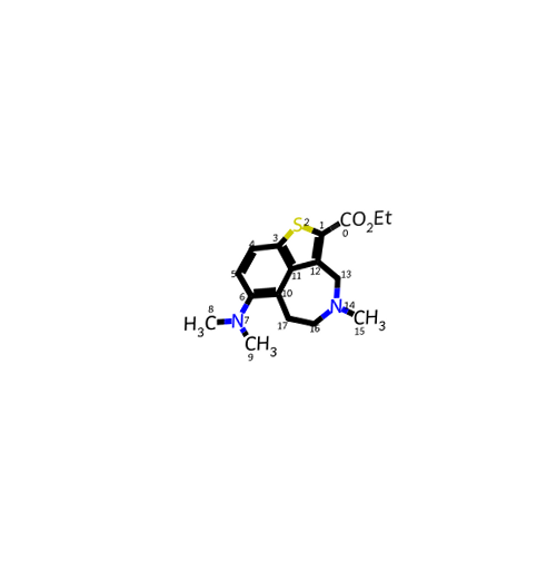 CCOC(=O)c1sc2ccc(N(C)C)c3c2c1CN(C)CC3